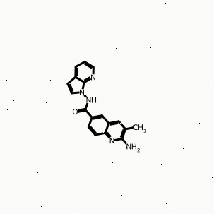 Cc1cc2cc(C(=O)Nn3ccc4cccnc43)ccc2nc1N